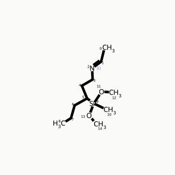 C/C=N/CCC(CCC)[Si](C)(OC)OC